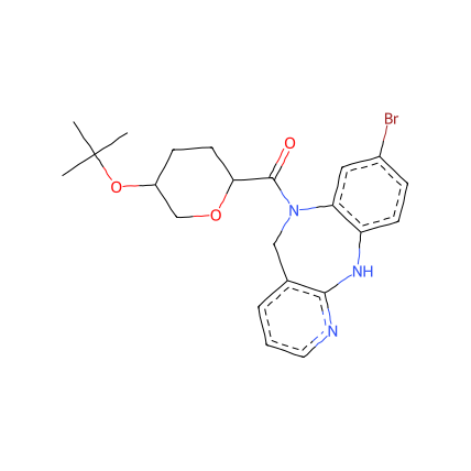 CC(C)(C)OC1CCC(C(=O)N2Cc3cccnc3Nc3ccc(Br)cc32)OC1